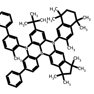 Cc1ccc(-c2ccccc2)cc1N1c2cc(-c3ccccc3)ccc2B2c3cc4c(cc3N(c3cc5c(cc3C)C(C)(C)CCC5(C)C)c3cc(C(C)(C)C)cc1c32)C(C)(C)CC4(C)C